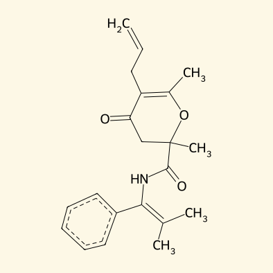 C=CCC1=C(C)OC(C)(C(=O)NC(=C(C)C)c2ccccc2)CC1=O